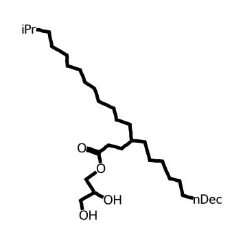 CCCCCCCCCCCCCCCCC(CCCCCCCCCCCC(C)C)CCC(=O)OCC(O)CO